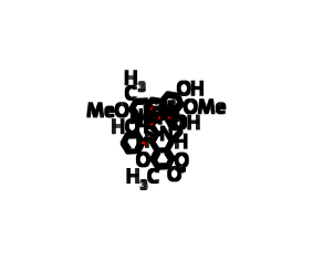 COc1cc2c(cc1O)CCN[C@]21CS[C@@H]2c3c(Oc4ccccc4)c(C)c4c(c3[C@H](COC1=O)N1C2[C@@H]2c3c(cc(C)c(OC)c3O)C[C@H]([C@@H]1O)N2C)OCO4